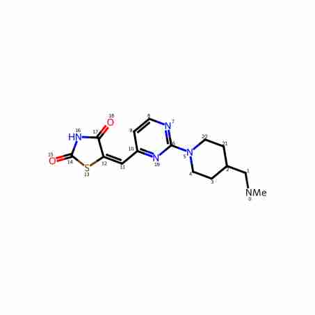 CNCC1CCN(c2nccc(C=C3SC(=O)NC3=O)n2)CC1